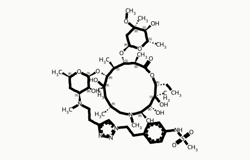 CC[C@H]1OC(=O)[C@H](C)[C@@H](O[C@H]2C[C@@](C)(OC)[C@@H](O)[C@H](C)O2)[C@H](C)[C@@H](O[C@@H]2O[C@H](C)C[C@H](N(C)CCc3cn(CCc4ccc(NS(C)(=O)=O)cc4)nn3)[C@H]2O)[C@](C)(O)C[C@@H](C)CN(C)[C@H](C)[C@@H](O)[C@]1(C)O